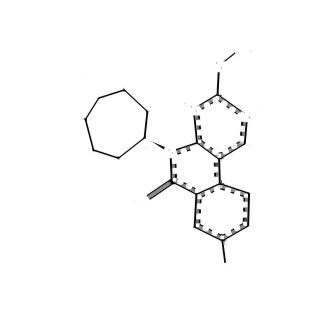 CCCCNc1ncc2c3ccc(Cl)cc3c(=O)n([C@H]3CCC[C@H](O)CC3)c2n1